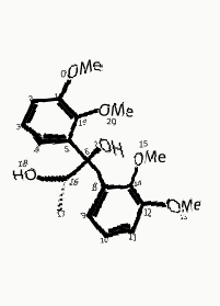 COc1cccc(C(O)(c2cccc(OC)c2OC)[C@H](C)O)c1OC